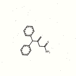 C=C(CC(N)=S)C(c1ccccc1)c1ccccc1